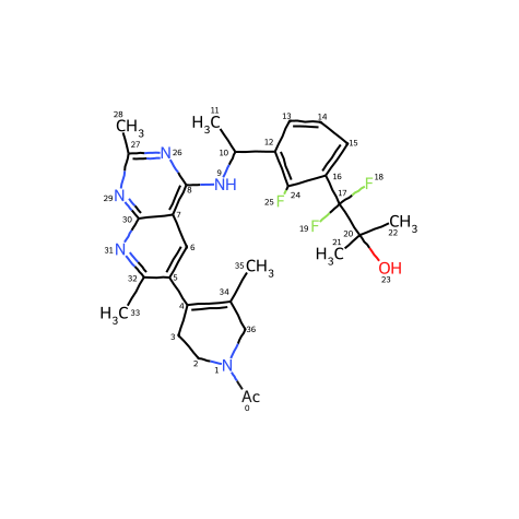 CC(=O)N1CCC(c2cc3c(NC(C)c4cccc(C(F)(F)C(C)(C)O)c4F)nc(C)nc3nc2C)=C(C)C1